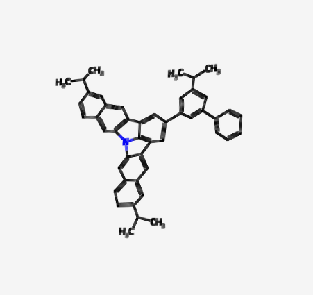 CC(C)c1cc(-c2ccccc2)cc(-c2cc3c4cc5cc(C(C)C)ccc5cc4n4c5cc6ccc(C(C)C)cc6cc5c(c2)c34)c1